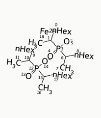 CCCCCCC(C)P(=O)([O-])C(C)CCCCCC.CCCCCCC(C)P(=O)([O-])C(C)CCCCCC.[Fe+2]